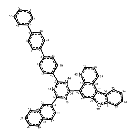 c1ccc(-c2ccc(-c3ccc(-c4nc(-c5ccc6ccccc6c5)nc(-c5cc6oc7ccccc7c6c6cccnc56)n4)cc3)cc2)cc1